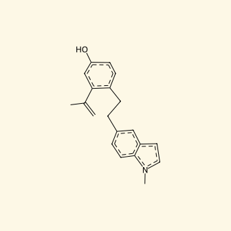 C=C(C)c1cc(O)ccc1CCc1ccc2c(ccn2C)c1